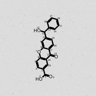 O=C(O)c1ccc2oc3cc(C(O)c4ccccc4)ccc3c(=O)c2c1